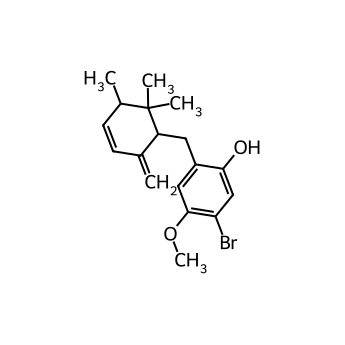 C=C1C=CC(C)C(C)(C)C1Cc1cc(OC)c(Br)cc1O